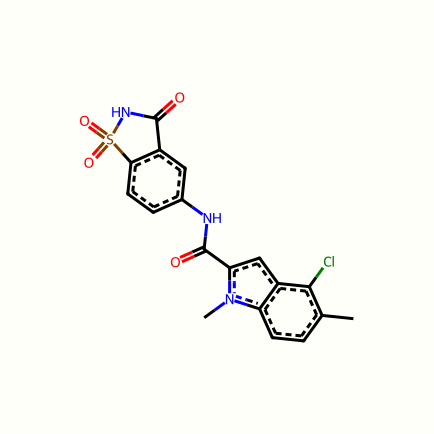 Cc1ccc2c(cc(C(=O)Nc3ccc4c(c3)C(=O)NS4(=O)=O)n2C)c1Cl